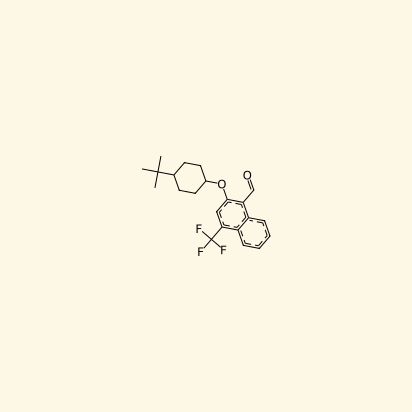 CC(C)(C)C1CCC(Oc2cc(C(F)(F)F)c3ccccc3c2C=O)CC1